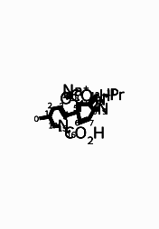 CC1CC=C(c2ccc3nn(C(C)C)cc3c2)N(C(=O)O)C1.O=C([O-])O.[Na+]